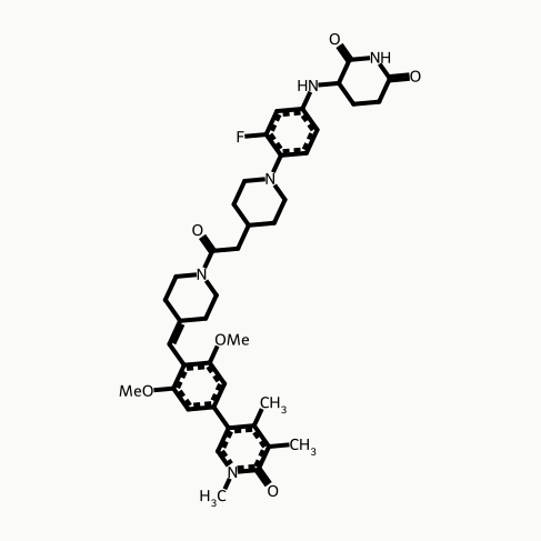 COc1cc(-c2cn(C)c(=O)c(C)c2C)cc(OC)c1C=C1CCN(C(=O)CC2CCN(c3ccc(NC4CCC(=O)NC4=O)cc3F)CC2)CC1